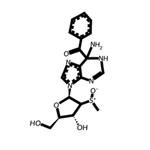 C[S+]([O-])C1[C@H](n2cnc3c2N=CNC3(N)C(=O)c2ccccc2)O[C@H](CO)[C@H]1O